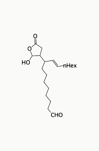 CCCCCC/C=C/C(CCCCCCCC=O)C1CC(=O)OC1O